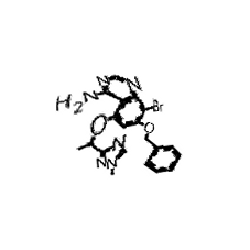 CC(Oc1cc(OCc2ccccc2)c(Br)c2ncnc(N)c12)c1ncn(C)n1